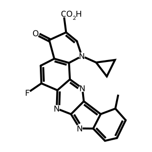 CC1C=CC=C2N=c3nc4c(F)cc5c(=O)c(C(=O)O)cn(C6CC6)c5c4nc3=C21